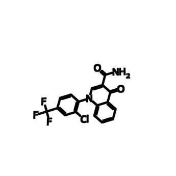 NC(=O)c1cn(-c2ccc(C(F)(F)F)cc2Cl)c2ccccc2c1=O